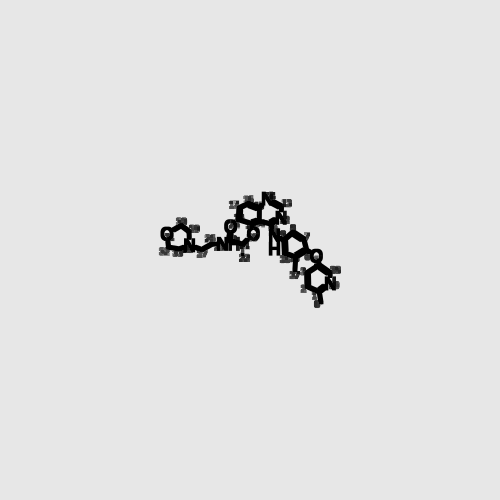 Cc1ccc(Oc2ccc(Nc3ncnc4cccc(O[C@H](C)C(=O)NCCN5CCOCC5)c34)cc2C)cn1